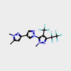 Cc1cc(-c2cnn(-c3c(C(F)(F)F)c(C(F)(F)C(F)(F)F)nn3C)c2)nn1C